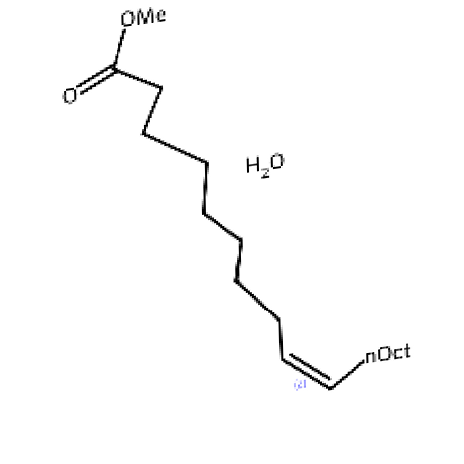 CCCCCCCC/C=C\CCCCCCCC(=O)OC.O